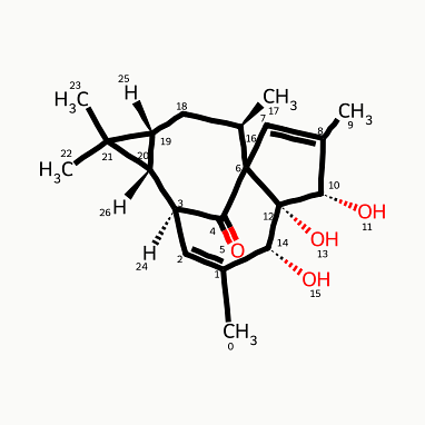 CC1=C[C@@H]2C(=O)C3(C=C(C)[C@H](O)[C@@]3(O)[C@@H]1O)[C@H](C)C[C@@H]1[C@H]2C1(C)C